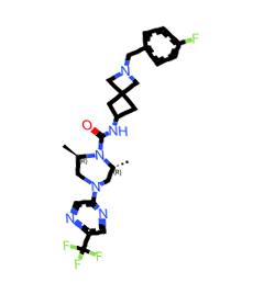 C[C@@H]1CN(c2cnc(C(F)(F)F)cn2)C[C@@H](C)N1C(=O)NC1CC2(C1)CN(Cc1ccc(F)cc1)C2